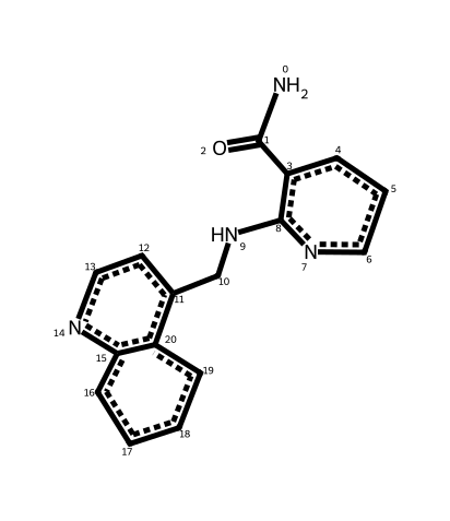 NC(=O)c1cccnc1NCc1ccnc2ccccc12